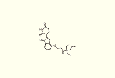 C=CCC(CC)(CC)NCCSc1cccc2c1CN(C1CCC(=O)NC1=O)C2=O